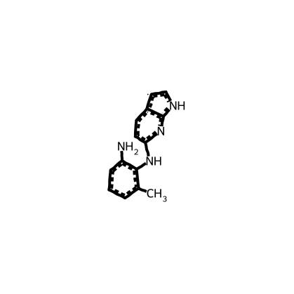 Cc1cccc(N)c1Nc1ccc2[c]c[nH]c2n1